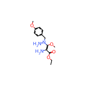 CCOC(=O)/C(N)=C(\OC)N(N)Cc1ccc(OC)cc1